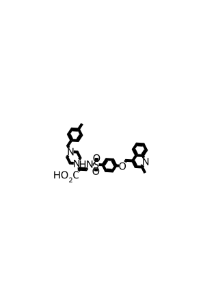 Cc1ccc(CN2CCN(C(=CNS(=O)(=O)c3ccc(OCc4cc(C)nc5ccccc45)cc3)C(=O)O)CC2)cc1